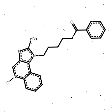 CCCCc1nc2c[n+]([O-])c3ccccc3c2n1CCCCCC(=O)c1ccccc1